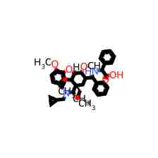 CCC[C@]12CC([C@@H](NC(C(=O)O)c3ccccc3)c3ccccc3)C(OC)[C@@H]3Oc4c(OC)ccc(C)c4[C@@]31CCN(CC1CC1)C2C